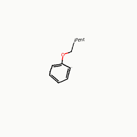 CCCC(C)COc1[c]cccc1